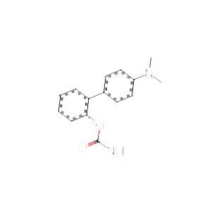 CN(C)c1ccc(-c2ccccc2OC(N)=O)cc1